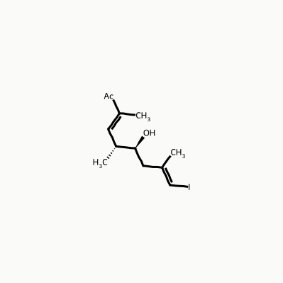 CC(=O)/C(C)=C/[C@@H](C)[C@@H](O)C/C(C)=C/I